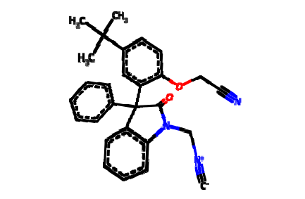 [C-]#[N+]CN1C(=O)C(c2ccccc2)(c2cc(C(C)(C)C)ccc2OCC#N)c2ccccc21